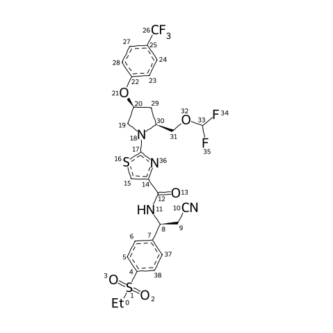 CCS(=O)(=O)c1ccc([C@H](CC#N)NC(=O)c2csc(N3C[C@@H](Oc4ccc(C(F)(F)F)cc4)C[C@H]3COC(F)F)n2)cc1